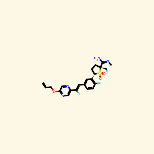 C=CCOc1cnc(/C(F)=C/c2ccc(F)c([C@@H]3CC[C@](CF)(/C(N)=N\C)S3(=O)=O)c2)cn1